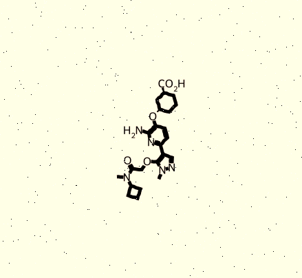 CN(C(=O)COc1c(-c2ccc(O[C@H]3CCC[C@H](C(=O)O)C3)c(N)n2)cnn1C)C1CCC1